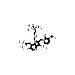 Cc1c(Cn2cccc(N)c2=O)n(COCC[Si](C)(C)C)c2c(CC(C)C)c(F)cnc12